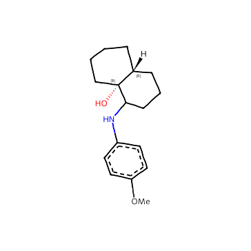 COc1ccc(NC2CCC[C@H]3CCCC[C@]23O)cc1